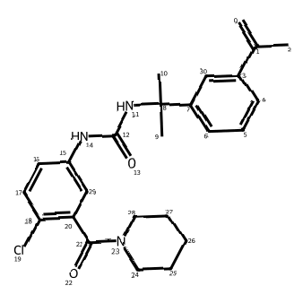 C=C(C)c1cccc(C(C)(C)NC(=O)Nc2ccc(Cl)c(C(=O)N3CCCCC3)c2)c1